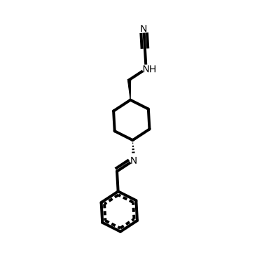 N#CNC[C@H]1CC[C@H](N=Cc2ccccc2)CC1